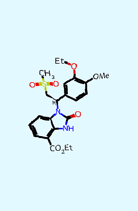 CCOC(=O)c1cccc2c1[nH]c(=O)n2[C@@H](CS(C)(=O)=O)c1ccc(OC)c(OCC)c1